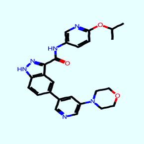 CC(C)Oc1ccc(NC(=O)c2n[nH]c3ccc(-c4cncc(N5CCOCC5)c4)cc23)cn1